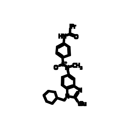 CC(C)C(=O)Nc1ccc([S+]([O-])N(C)c2ccc3c(c2)nc(C(C)(C)C)n3CC2CCCCC2)cc1